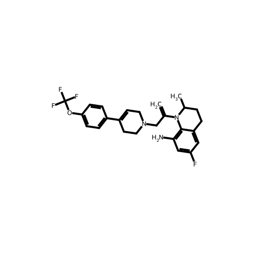 C=C(CN1CC=C(c2ccc(OC(F)(F)F)cc2)CC1)N1c2c(N)cc(F)cc2CCC1C